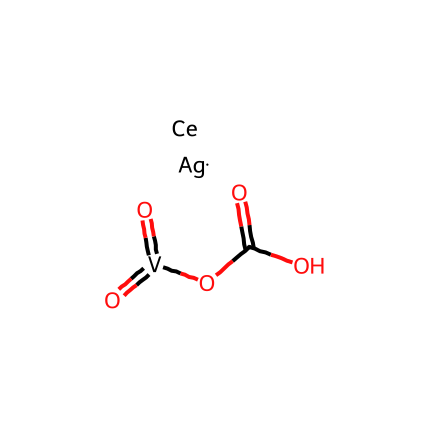 O=C(O)[O][V](=[O])=[O].[Ag].[Ce]